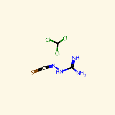 ClC(Cl)Cl.N=C(N)NN=C=S